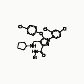 CCNC(=O)c1nn(-c2ccc(Cl)cc2Cl)c(Oc2ccc(Cl)cc2)c1CNC1CCCC1